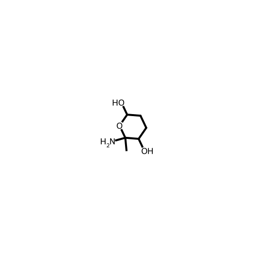 CC1(N)OC(O)CCC1O